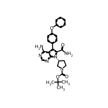 CC(C)(C)OC(=O)N1CC[C@@H](n2c(C(N)=O)c(-c3ccc(Oc4ccccc4)cc3)c3c(N)ncnc32)C1